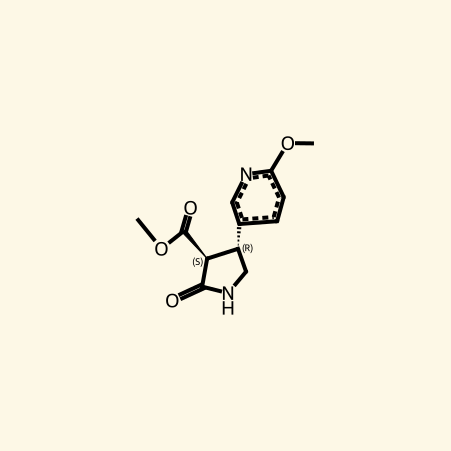 COC(=O)[C@@H]1C(=O)NC[C@H]1c1ccc(OC)nc1